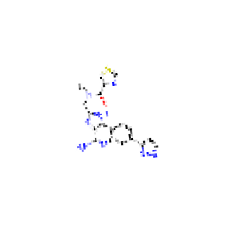 CCN(Cc1nc2c(N)nc3cc(-c4cc[nH]n4)ccc3c2[nH]1)C(=O)c1cscn1